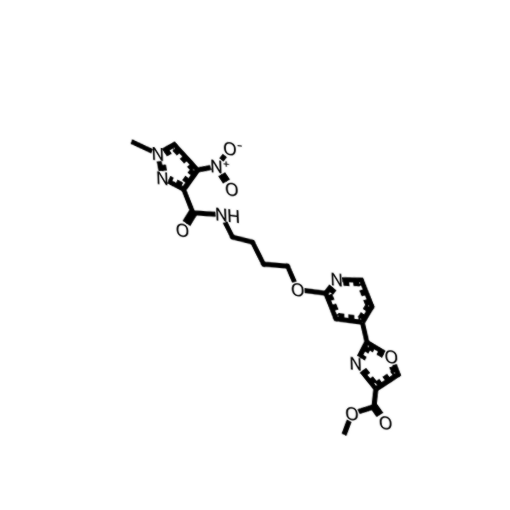 COC(=O)c1coc(-c2ccnc(OCCCCNC(=O)c3nn(C)cc3[N+](=O)[O-])c2)n1